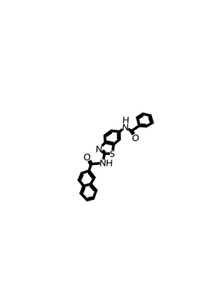 O=C(Nc1ccc2nc(NC(=O)c3ccc4ccccc4c3)sc2c1)c1ccccc1